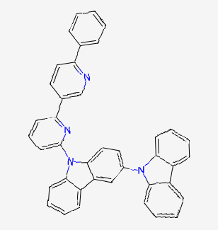 c1ccc(-c2ccc(-c3cccc(-n4c5ccccc5c5cc(-n6c7ccccc7c7ccccc76)ccc54)n3)cn2)cc1